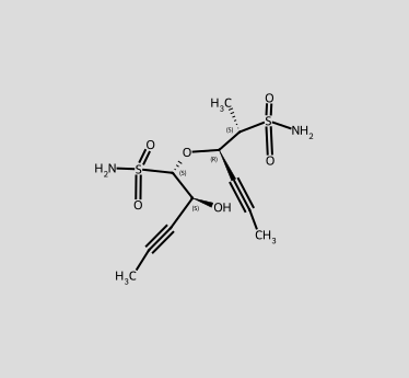 CC#C[C@H](O)[C@@H](O[C@H](C#CC)[C@H](C)S(N)(=O)=O)S(N)(=O)=O